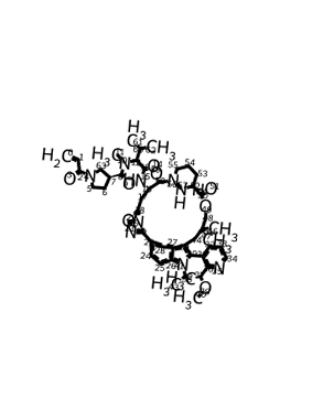 C=CC(=O)N1CC[C@H](C(=O)N(C)C(C(=O)N[C@H]2Cc3nc(no3)-c3ccc4c(c3)c(c(-c3cccnc3[C@H](C)OC)n4CC)CC(C)(C)COC(=O)[C@@H]3CCCN(N3)C2=O)C(C)C)C1